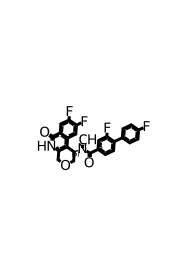 CN(C(=O)c1ccc(-c2ccc(F)cc2)c(F)c1)[C@@H]1COCc2[nH]c(=O)c3cc(F)c(F)cc3c21